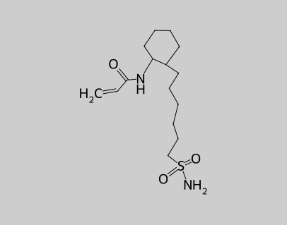 C=CC(=O)NC1CCCCC1CCCCCCS(N)(=O)=O